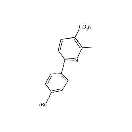 Cc1nc(-c2ccc(C(C)(C)C)cc2)ccc1C(=O)O